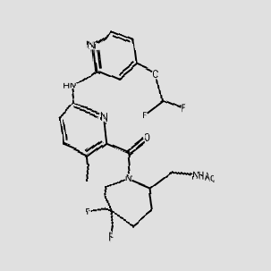 CC(=O)NCC1CCC(F)(F)CN1C(=O)c1nc(Nc2cc(OC(F)F)ccn2)ccc1C